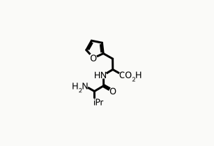 CC(C)C(N)C(=O)NC(Cc1ccco1)C(=O)O